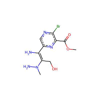 COC(=O)c1nc(/C(N)=C(\CO)N(C)N)cnc1Br